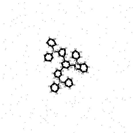 c1ccc(N(c2ccccc2)c2cccc(-c3cc(-c4cccc(N(c5ccccc5)c5ccccc5)c4)cc(-c4nc5ccccc5n4-c4ccccc4)c3)c2)cc1